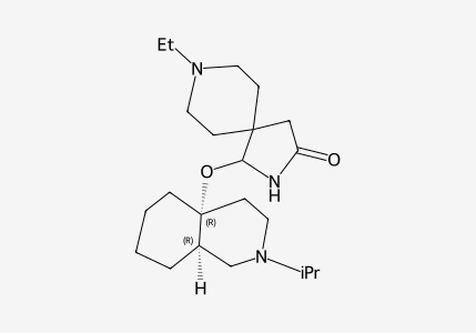 CCN1CCC2(CC1)CC(=O)NC2O[C@@]12CCCC[C@@H]1CN(C(C)C)CC2